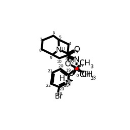 CN(N=C1CC2CCCC(C1)N2C(=O)OC(C)(C)C)c1cccc(Br)n1